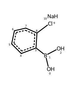 OB(O)c1ccccc1Cl.[NaH]